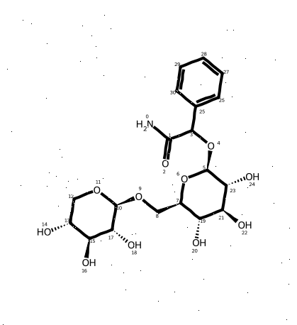 NC(=O)C(O[C@@H]1O[C@H](CO[C@@H]2OC[C@@H](O)[C@H](O)[C@H]2O)[C@@H](O)[C@H](O)[C@H]1O)c1ccccc1